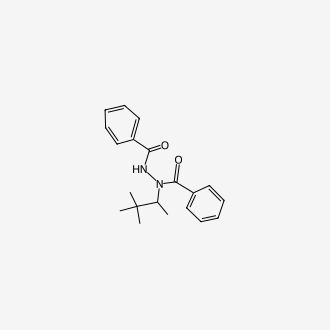 CC(N(NC(=O)c1ccccc1)C(=O)c1ccccc1)C(C)(C)C